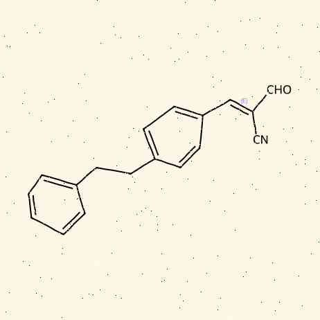 N#C/C(C=O)=C\c1ccc(CCc2ccccc2)cc1